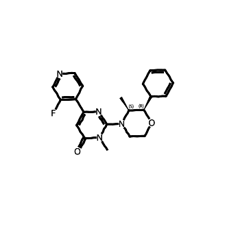 C[C@H]1[C@@H](C2C=CC=CC2)OCCN1c1nc(-c2ccncc2F)cc(=O)n1C